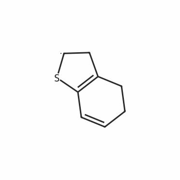 [CH]1CC2=C(C=CCC2)S1